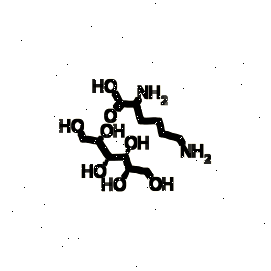 NCCCCC(N)C(=O)O.OC[C@@H](O)[C@@H](O)[C@H](O)[C@H](O)CO